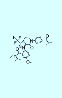 CCN(C(=O)c1cc(OC)ccc1-n1nc(C(F)(F)F)c2c1C(=O)N(c1ccc(C(=O)N(C)C)cc1)CC2)C(C)C